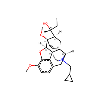 CC[C@@](C)(O)[C@H]1C[C@@]23C=C[C@]1(OC)[C@@H]1Oc4c(OC)ccc5c4[C@@]12CCN(CC1CC1)[C@@H]3C5